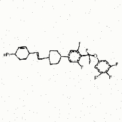 CCCC1C=CC(/C=C/C2CCC(c3cc(F)c(C(F)(F)Oc4cc(F)c(F)c(F)c4)c(F)c3)CC2)CC1